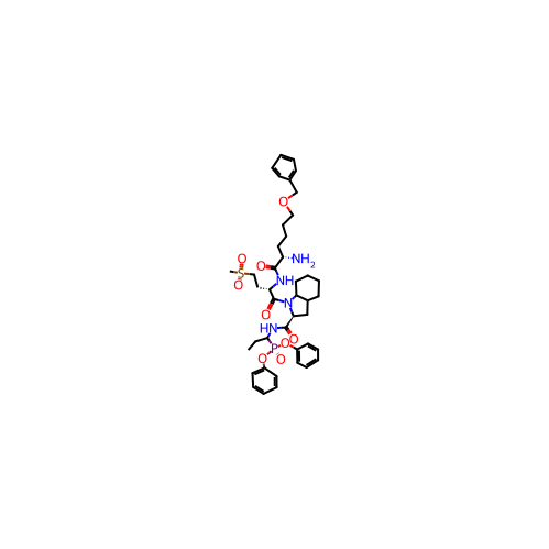 CCC(NC(=O)[C@@H]1CC2CCCCC2N1C(=O)[C@H](CCS(C)(=O)=O)NC(=O)[C@@H](N)CCCCOCc1ccccc1)P(=O)(Oc1ccccc1)Oc1ccccc1